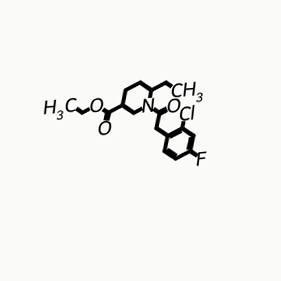 CCOC(=O)C1CCC(CC)N(C(=O)Cc2ccc(F)cc2Cl)C1